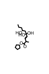 CCCC(O)CC(O)(O)C=CC(C)C(=O)OC1CCCC1